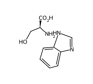 N[C@@H](CO)C(=O)O.c1ccc2[nH]cnc2c1